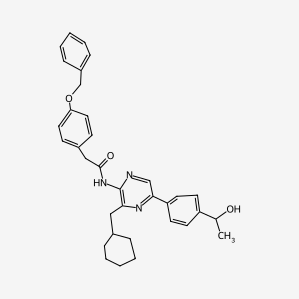 CC(O)c1ccc(-c2cnc(NC(=O)Cc3ccc(OCc4ccccc4)cc3)c(CC3CCCCC3)n2)cc1